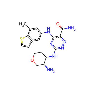 Cc1cc(Nc2nc(N[C@@H]3CCOC[C@@H]3N)nnc2C(N)=O)cc2ccsc12